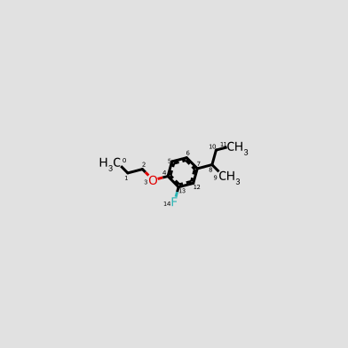 CCCOc1ccc(C(C)CC)cc1F